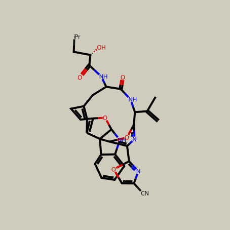 C=C(C)C1NC(=O)C(NC(=O)[C@@H](O)CC(C)C)Cc2ccc3c(c2)C2(c4ccccc4NC2O3)c2oc1nc2-c1nc(C#N)co1